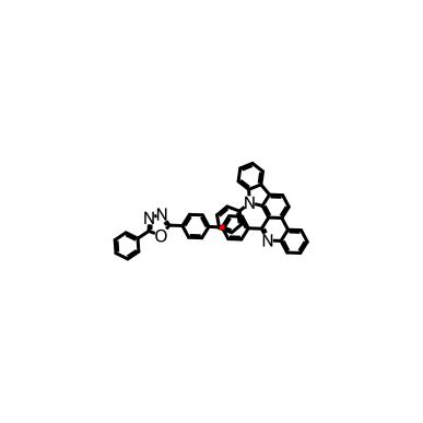 c1ccc(-c2nnc(-c3ccc(-c4ccc(-c5nc6ccccc6c6ccc7c8ccccc8n(-c8ccccc8)c7c56)cc4)cc3)o2)cc1